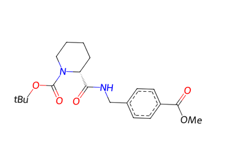 COC(=O)c1ccc(CNC(=O)[C@H]2CCCCN2C(=O)OC(C)(C)C)cc1